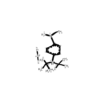 CN(C)c1ccc([PH+](C(C)(C)C)C(C)(C)C)cc1.[Cl][Pd][Cl]